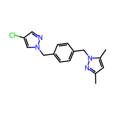 Cc1cc(C)n(Cc2ccc(Cn3cc(Cl)cn3)cc2)n1